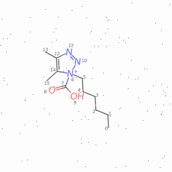 CCCCCC[N+]1(C(=O)O)N=NC(C)=C1C